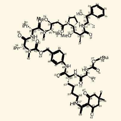 CC[C@@H](C)[C@H]([C@H](CC(=O)N1CCC[C@@H]1[C@@H](OC)[C@H](C)C(=O)N[C@@H](C)[C@H](O)c1ccccc1)OC)N(C)C(=O)[C@H](NC(=O)[C@@H](C(C)C)N(C)C(=O)OCc1ccc(NC(=O)[C@@H](CCCCNC(C)=C2C(=O)CC(C)(C)CC2=O)NC(=O)[C@H](NC(=O)OC(C)(C)C)C(C)C)cc1)C(C)C